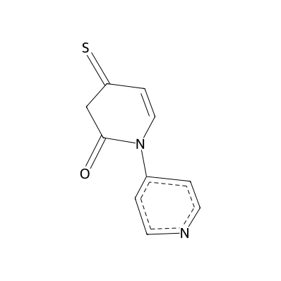 O=C1CC(=S)C=CN1c1ccncc1